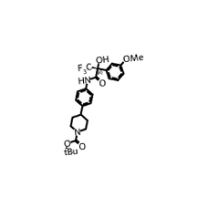 COc1cccc([C@@](O)(C(=O)Nc2ccc(C3CCN(C(=O)OC(C)(C)C)CC3)cc2)C(F)(F)F)c1